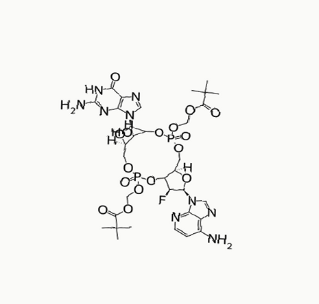 CC(C)(C)C(=O)OCOP1(=O)OC[C@H]2O[C@@H](n3cnc4c(N)ccnc43)[C@@H](F)C2OP(=O)(OCOC(=O)C(C)(C)C)OC[C@H]2O[C@@H](n3cnc4c(=O)[nH]c(N)nc43)C(O1)[C@H]2O